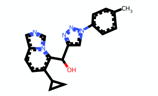 Cc1ccc(-n2cc(C(O)c3c(C4CC4)ccc4cncn34)nn2)cc1